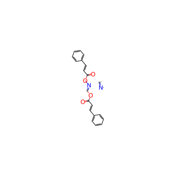 O=C(C=Cc1ccccc1)OC=NOC(=O)C=Cc1ccccc1.[CH]=[N]